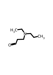 CCCN(CC)CCC=O